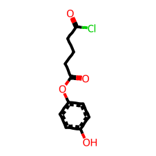 O=C(Cl)CCCC(=O)Oc1ccc(O)cc1